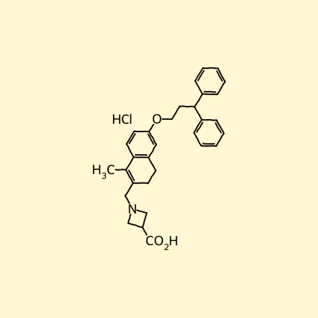 CC1=C(CN2CC(C(=O)O)C2)CCc2cc(OCCC(c3ccccc3)c3ccccc3)ccc21.Cl